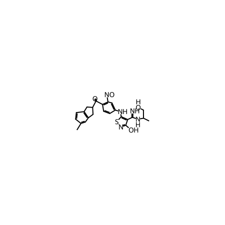 Cc1ccc2c(c1)CC(C(=O)c1ccc(Nc3snc(O)c3C(=N)NC(C)CO)cc1N=O)C2